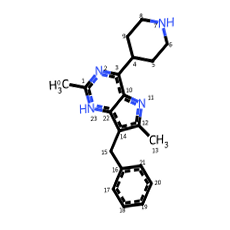 Cc1nc(C2CCNCC2)c2nc(C)c(Cc3ccccc3)c-2[nH]1